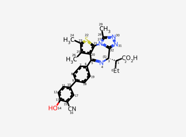 CCC(C(=O)O)[C@@H]1N=C(c2ccc(-c3ccc(O)c(C#N)c3)cc2)c2c(sc(C)c2C)-n2c(C)nnc21